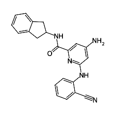 N#Cc1ccccc1Nc1cc(N)cc(C(=O)NC2Cc3ccccc3C2)n1